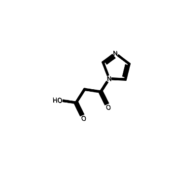 O=C(O)CC(=O)n1ccnc1